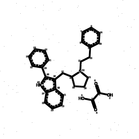 O=C(O)C(=O)O.c1ccc(CCN2CCCC2Cc2c(-c3ccccc3)[nH]c3ccccc23)cc1